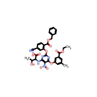 CCOC(=O)c1cc(C)cc(Oc2nc(Oc3cc(C#N)ccc3C(=O)OCc3ccccc3)nc(NC(C(=O)O)C(C)O)c2[N+](=O)[O-])c1